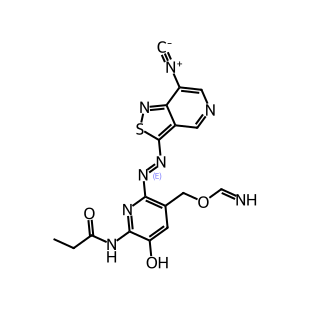 [C-]#[N+]c1cncc2c(/N=N/c3nc(NC(=O)CC)c(O)cc3COC=N)snc12